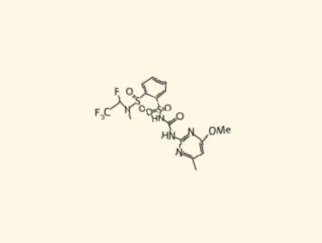 COc1cc(C)nc(NC(=O)NS(=O)(=O)c2ccccc2S(=O)(=O)N(C)C(F)C(F)(F)F)n1